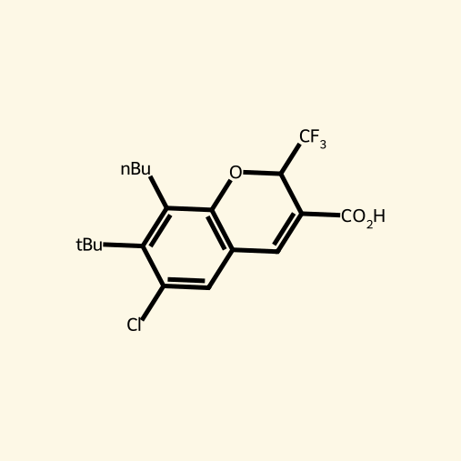 CCCCc1c2c(cc(Cl)c1C(C)(C)C)C=C(C(=O)O)C(C(F)(F)F)O2